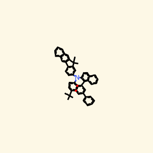 CC(C)(C)c1ccc(N(c2ccc3c(c2)C(C)(C)c2cc4ccccc4cc2-3)c2ccc3ccccc3c2-c2cccc(-c3ccccc3)c2)cc1